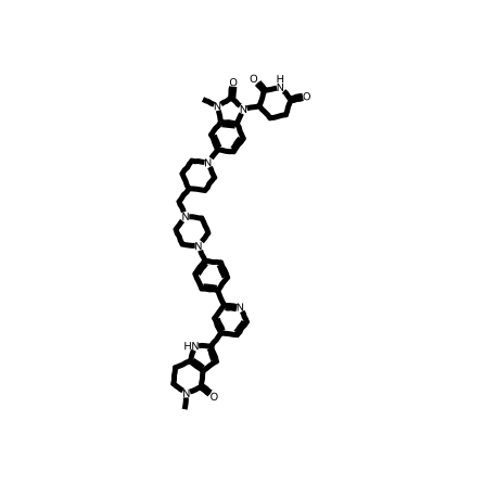 CN1CCc2[nH]c(-c3ccnc(-c4ccc(N5CCN(CC6CCN(c7ccc8c(c7)n(C)c(=O)n8C7CCC(=O)NC7=O)CC6)CC5)cc4)c3)cc2C1=O